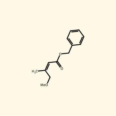 COCC(C)=CC(=O)OCc1ccccc1